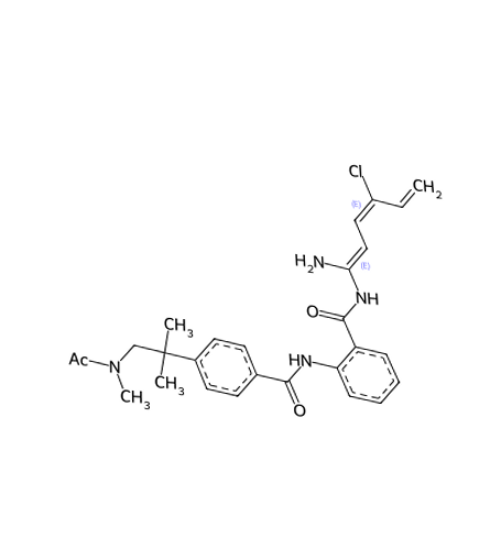 C=C/C(Cl)=C\C=C(/N)NC(=O)c1ccccc1NC(=O)c1ccc(C(C)(C)CN(C)C(C)=O)cc1